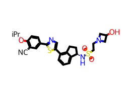 CC(C)Oc1ccc(-c2ncc(-c3cccc4c3CC[C@@H]4NS(=O)(=O)CCN3CC(O)C3)s2)cc1C#N